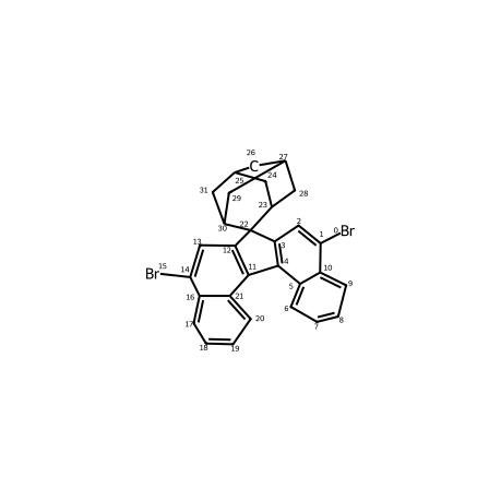 Brc1cc2c(c3ccccc13)-c1c(cc(Br)c3ccccc13)C21C2CC3CC(C2)CC1C3